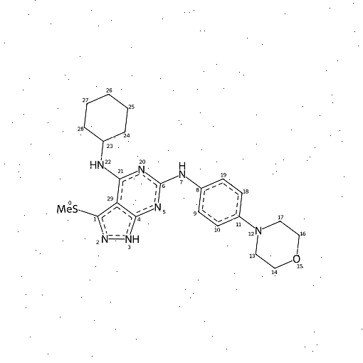 CSc1n[nH]c2nc(Nc3ccc(N4CCOCC4)cc3)nc(NC3CCCCC3)c12